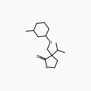 CC1CCCC(OCC2(C(C)C)CCOC2=O)C1